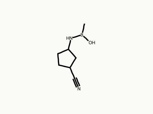 CB(O)NC1CCC(C#N)C1